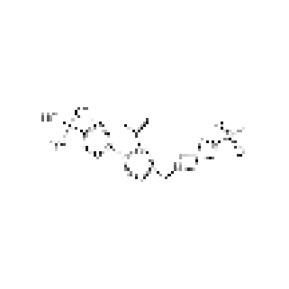 C=C(C)c1cc(CN2CC3(C2)CN(S(C)(=O)=O)C3)ccc1-c1ccc(C(O)(C(F)(F)F)C(F)(F)F)cc1